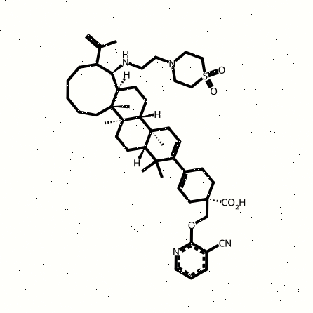 C=C(C)C1CCCCC[C@]2(C)[C@H](CC[C@@H]3[C@@]4(C)CC=C(C5=CC[C@@](COc6ncccc6C#N)(C(=O)O)CC5)C(C)(C)[C@@H]4CC[C@]32C)[C@@H]1NCCN1CCS(=O)(=O)CC1